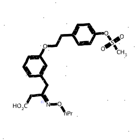 CCCO/N=C(/CC(=O)O)Cc1cccc(OCCc2ccc(OS(C)(=O)=O)cc2)c1